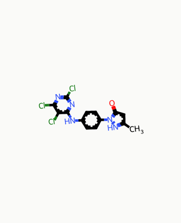 Cc1cc(=O)n(-c2ccc(Nc3nc(Cl)nc(Cl)c3Cl)cc2)[nH]1